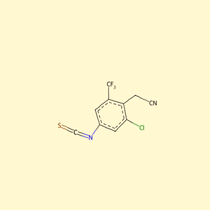 N#CCc1c(Cl)cc(N=C=S)cc1C(F)(F)F